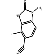 Cn1c(=O)[nH]c2c(F)c(C#N)ccc21